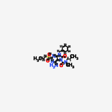 CCCN(C)C(=O)n1c(=O)n(Cc2ccccc2)c2nc(S(=O)(=O)CCC)nc(N)c21